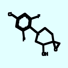 OC1CN(c2c(F)cc(Cl)cc2F)CCC12CO2